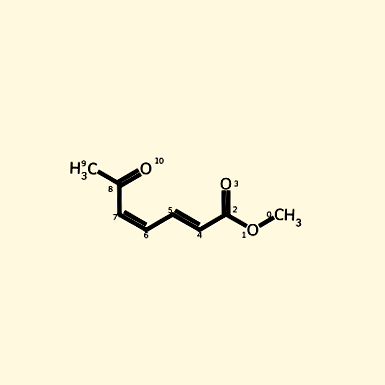 COC(=O)/C=C/C=C\C(C)=O